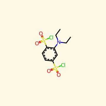 CCN(CC)c1cc(S(=O)(=O)Cl)ccc1S(=O)(=O)Cl